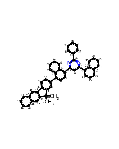 CC1(C)c2cc(-c3ccc(-c4cc(-c5cccc6ccccc56)nc(-c5ccccc5)n4)c4ccccc34)ccc2-c2cc3ccccc3cc21